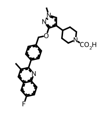 Cc1cc2cc(F)ccc2nc1-c1ccc(COc2nn(C)cc2C2CCN(C(=O)O)CC2)cc1